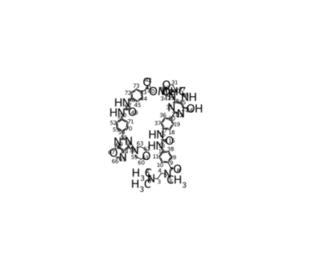 CN(C)CCN(C)C(=O)c1ccc(NC(=O)Nc2ccc(-c3nc(O)c(NC=O)c(N4CCOCC4)n3)cc2)cc1.COC(=O)c1ccc(NC(=O)Nc2ccc(-c3nc(N4CCOCC4)c4ncoc4n3)cc2)cc1